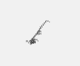 CCCCCCCCCCCCCCNCC(O)CCCCCCCc1nc2c(c(=O)[nH]c(=O)n2C)n1C